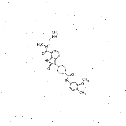 CNCCN(C)C(=O)c1cccc2c1[nH]c(=O)n2C1CCC(C(=O)Nc2ccc(C)c(OC)c2)CC1